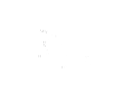 COC(=O)c1ccc(O)c(C#Cc2ccc(OC(F)(F)F)c(C(=O)NC(CO)Cc3c[nH]c4ccccc34)c2)c1